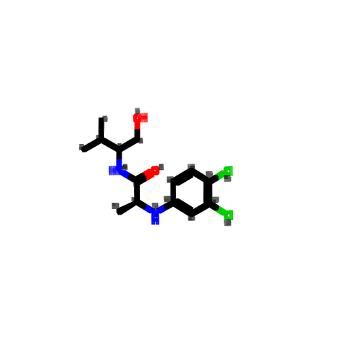 CC(C)C(CO)NC(=O)[C@H](C)Nc1ccc(Cl)c(Cl)c1